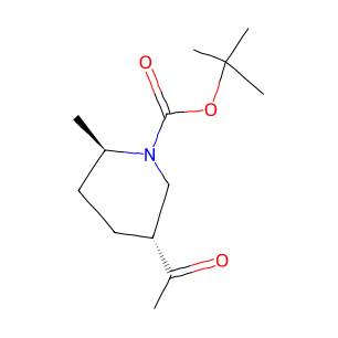 CC(=O)[C@@H]1CC[C@@H](C)N(C(=O)OC(C)(C)C)C1